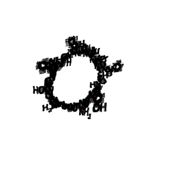 CCCC[C@H]1C(=O)N(C)[C@@H](CCCC)C(=O)N[C@@H](CC(C)C)C(=O)N[C@H](C(=O)NCC(=O)N2CCCCC2)CSCC(=O)N[C@@H](Cc2ccc(O)cc2)C(=O)N(C)[C@@H](C)C(=O)N[C@@H](CC(N)=O)C(=O)N2CCC[C@H]2C(=O)N[C@@H](CN)C(=O)N[C@@H](CC(C)C)C(=O)N2C[C@H](O)C[C@H]2C(=O)N[C@@H](Cc2c[nH]c3ccccc23)C(=O)NCC(=O)NC(Cc2c[nH]c3ccccc23)C(=O)N1C